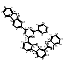 c1ccc(-c2nc(-c3ccc4c(c3)oc3ccccc34)nc(-c3cccc4c3sc3c(-c5nc6ccccc6o5)cccc34)n2)cc1